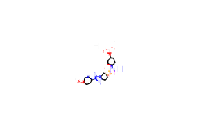 COc1ccc(-c2nc3ccc(S(=O)(=O)Nc4ccc(C(=O)OC(C)C)cc4)cc3[nH]2)cc1